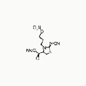 COC(=O)C1CSC(=NC#N)N1CCCO[N+](=O)[O-]